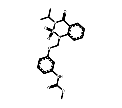 COC(=O)Nc1cccc(OCN2c3ccccc3C(=O)N(C(C)C)S2(=O)=O)c1